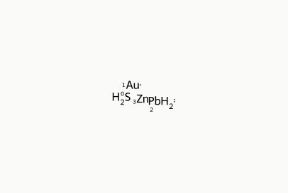 S.[Au].[PbH2].[Zn]